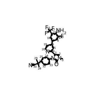 Cn1cc(-c2cc(-c3cc(F)c(N)c(C(F)(F)F)c3)ccn2)n(-c2ccc(C(C)(C)C#N)cc2)c1=O